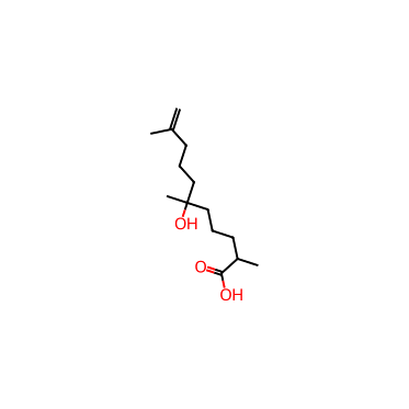 C=C(C)CCCC(C)(O)CCCC(C)C(=O)O